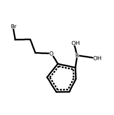 OB(O)c1ccccc1OCCCBr